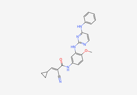 COc1ccc(NC(=O)C(C#N)=CC2CC2)cc1Nc1nccc(Nc2ccccc2)n1